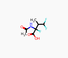 CC(=O)NC(F)(C(=O)O)C(C)C(F)F